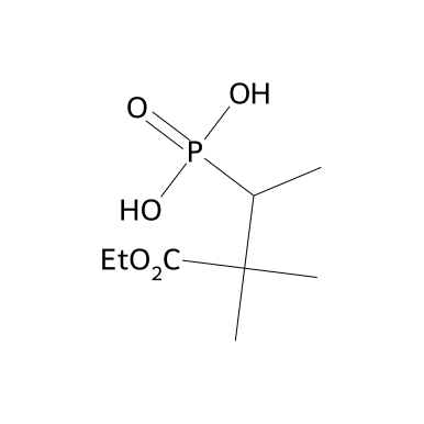 CCOC(=O)C(C)(C)C(C)P(=O)(O)O